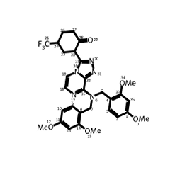 COc1ccc(CN(Cc2ccc(OC)cc2OC)c2nccn3c(C4CC(C(F)(F)F)CCC4=O)nnc23)c(OC)c1